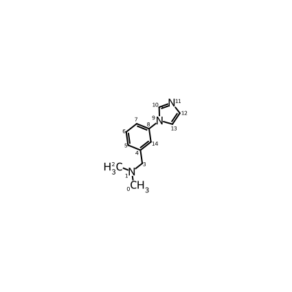 CN(C)Cc1cccc(-n2[c]ncc2)c1